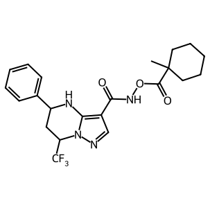 CC1(C(=O)ONC(=O)c2cnn3c2NC(c2ccccc2)CC3C(F)(F)F)CCCCC1